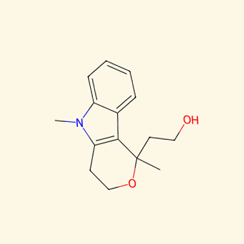 Cn1c2c(c3ccccc31)C(C)(CCO)OCC2